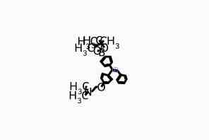 CN(C)CCOc1ccc(/C(=C\c2ccccc2)c2ccc(B3OC(C)(C)C(C)(C)O3)cc2)cc1